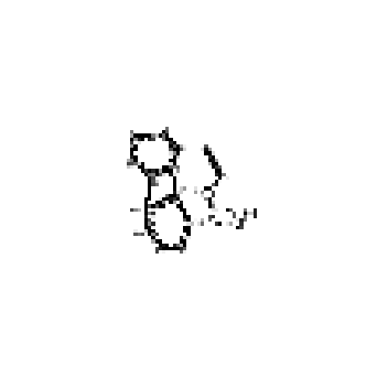 C=COC(=O)O.c1ccc2c(c1)-c1ccccc1-2